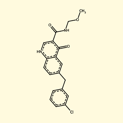 COCNC(=O)c1c[nH]c2ccc(Cc3cccc(Cl)c3)cc2c1=O